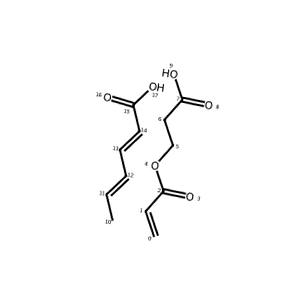 C=CC(=O)OCCC(=O)O.CC=CC=CC(=O)O